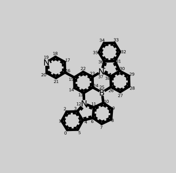 c1ccc2c(c1)c1cccc3c1n2-c1cc(-c2ccncc2)cc2c1B3c1cccc3c4ccccc4n-2c13